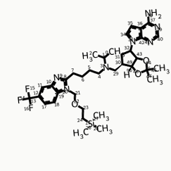 CC(C)N(CCCCc1nc2cc(C(F)(F)F)ccc2n1COCC[Si](C)(C)C)C[C@H]1CC(n2ccc3c(N)ncnc32)C2OC(C)(C)O[C@@H]21